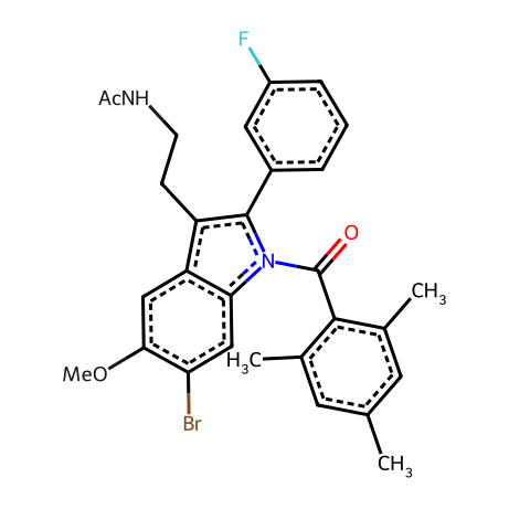 COc1cc2c(CCNC(C)=O)c(-c3cccc(F)c3)n(C(=O)c3c(C)cc(C)cc3C)c2cc1Br